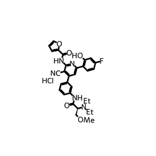 CCN(CC)[C@@H](COC)C(=O)Nc1cccc(-c2cc(-c3ccc(F)cc3O)nc(NC(=O)c3ccco3)c2C#N)c1.Cl